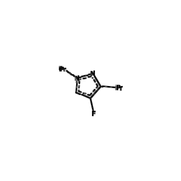 CC(C)c1nn(C(C)C)cc1F